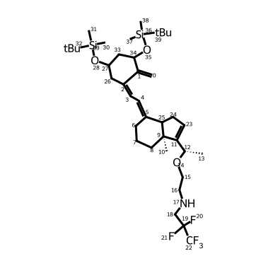 C=C1/C(=C\C=C2/CCC[C@]3(C)C([C@H](C)OCCNCC(F)(F)C(F)(F)F)=CCC23)CC(O[Si](C)(C)C(C)(C)C)CC1O[Si](C)(C)C(C)(C)C